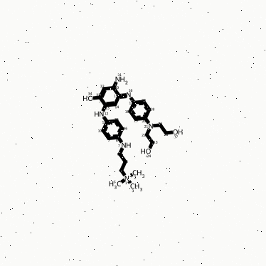 C[N+](C)(C)CCCNc1ccc(NC2=CC(=Nc3ccc(N(CCO)CCO)cc3)C(N)C=C2O)cc1